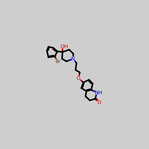 O=C1CCc2cc(OCCCN3CCC(O)(c4ccccc4Br)CC3)ccc2N1